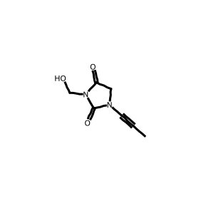 CC#CN1CC(=O)N(CO)C1=O